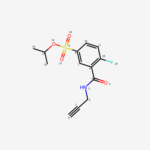 C#CCNC(=O)c1cc(S(=O)(=O)OC(C)C)ccc1F